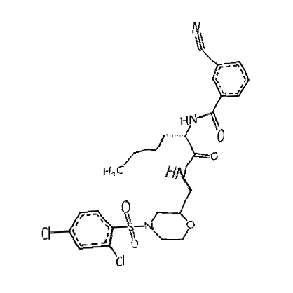 CCCC[C@H](NC(=O)c1cccc(C#N)c1)C(=O)NCC1CN(S(=O)(=O)c2ccc(Cl)cc2Cl)CCO1